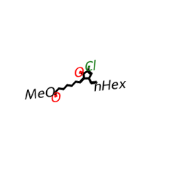 CCCCCC/C=C/C1C=C(Cl)C(=O)/C1=C\CCCCCC(=O)OC